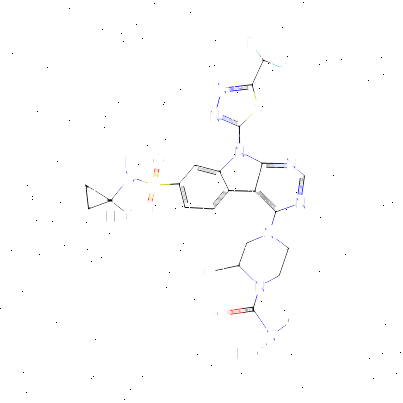 CC1CN(c2ncnc3c2c2ccc(S(=O)(=O)NC4(C)CC4)cc2n3-c2nnc(C(F)F)s2)CCN1C(=O)N(C)C